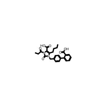 CCCCc1c(C(=O)O)n(C(=O)CC)c(=O)n1Cc1ccc(-c2ccccc2C(=O)O)cc1